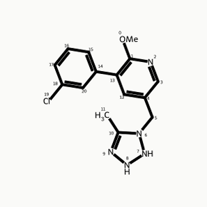 COc1ncc(CN2NNN=C2C)cc1-c1cccc(Cl)c1